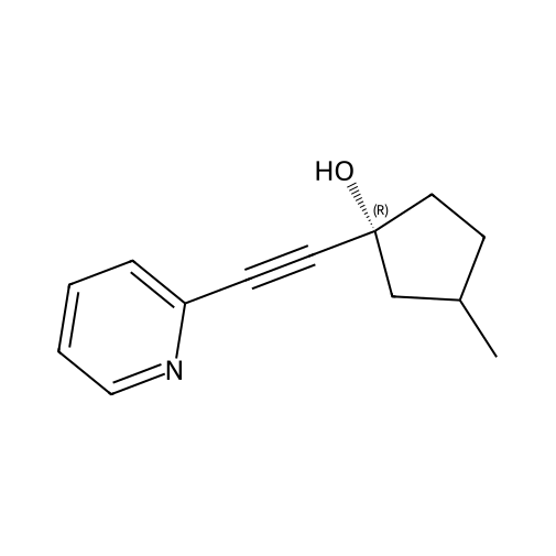 CC1CC[C@](O)(C#Cc2ccccn2)C1